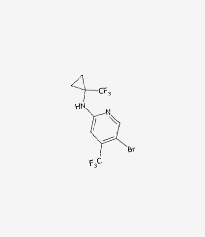 FC(F)(F)c1cc(NC2(C(F)(F)F)CC2)ncc1Br